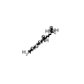 C[C@@H]1NC(=O)N[C@@H]1CCCCCC(=O)NCCOCCOCCOCCN